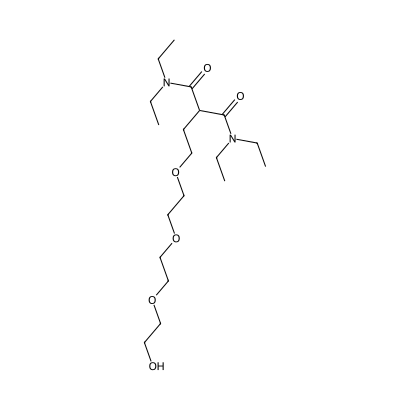 CCN(CC)C(=O)C(CCOCCOCCOCCO)C(=O)N(CC)CC